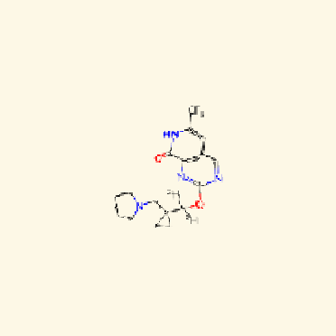 [2H]C([2H])(Oc1ncc2cc(C(F)(F)F)[nH]c(=O)c2n1)C1(CN2CCCC2)CC1